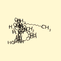 CCCCCCCCCCCCCCCC(=O)N(C)[C@H](CO)C(=O)N[C@H](C)C(=O)NCC(=O)N(C)[C@@H]1C(=O)N[C@@H](C)C(=O)N[C@H](C(=O)NCC(O)CO)CCCC2C=C(C(O)=CC2)c2cc1ccc2O